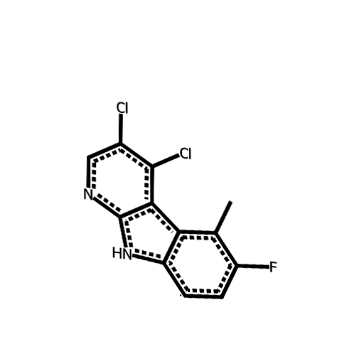 Cc1c(F)c[c]c2[nH]c3ncc(Cl)c(Cl)c3c12